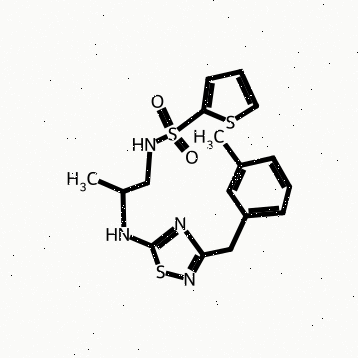 Cc1cccc(Cc2nsc(NC(C)CNS(=O)(=O)c3cccs3)n2)c1